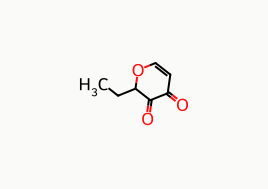 CCC1OC=CC(=O)C1=O